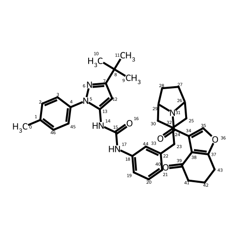 Cc1ccc(-n2nc(C(C)(C)C)cc2NC(=O)Nc2cccc(CC3CC4CCC(C3)N4C(=O)c3coc4c3C(=O)CCC4)c2)cc1